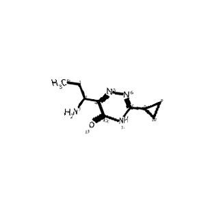 CCC(N)c1nnc(C2CC2)[nH]c1=O